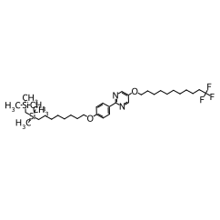 C[Si](C)(C)C[Si](C)(C)CCCCCCCCOc1ccc(-c2ncc(OCCCCCCCCCCC(F)(F)F)cn2)cc1